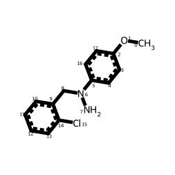 COc1ccc(N(N)Cc2ccccc2Cl)cc1